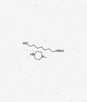 CCCCCCCCCCCCCCCCO.CN1CCNCC1